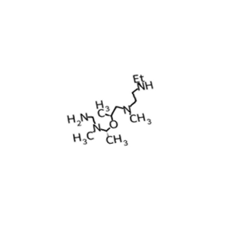 CCNCCN(C)C[C@H](C)O[C@H](C)N(C)CN